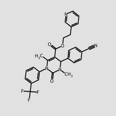 CC1=C(C(=O)OCCc2cccnc2)C(c2ccc(C#N)cc2)N(C)C(=O)N1c1cccc(C(F)(F)F)c1